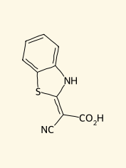 N#CC(C(=O)O)=C1Nc2ccccc2S1